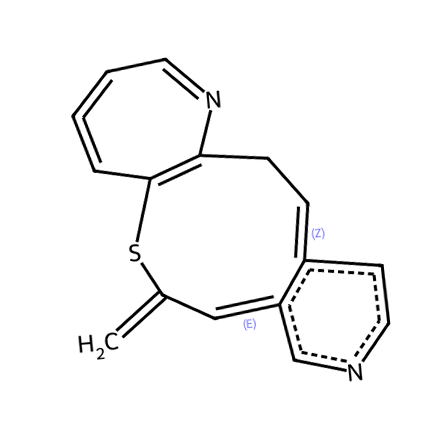 C=C1/C=c2/cncc/c2=C/CC2=C(C=C=CC=N2)S1